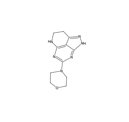 C1Cc2n[nH]c3nc(N4CCOCC4)nc(c23)N1